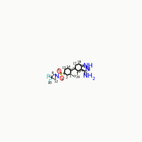 Cc1cc(S(=O)(=O)N2CC(F)(F)C2)ccc1-c1ccc2[nH]nc(N)c2c1C